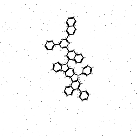 c1ccc(-c2nc(-c3ccc4ccccc4c3)nc(-c3cc(-n4c5ccccc5c5cc6c7c8ccccc8c(-c8ccccc8)cc7n(-c7ccccc7)c6cc54)c4ccccc4c3)n2)cc1